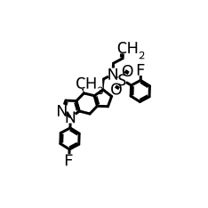 C=CCN(C[C@H]1CCC2=C1[C@@H](C)c1cnn(-c3ccc(F)cc3)c1C2)S(=O)(=O)c1ccccc1F